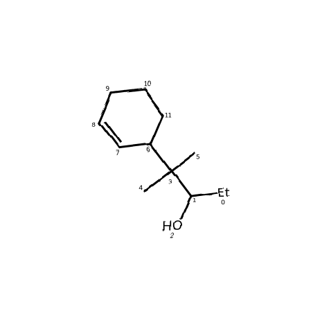 CCC(O)C(C)(C)C1C=CCCC1